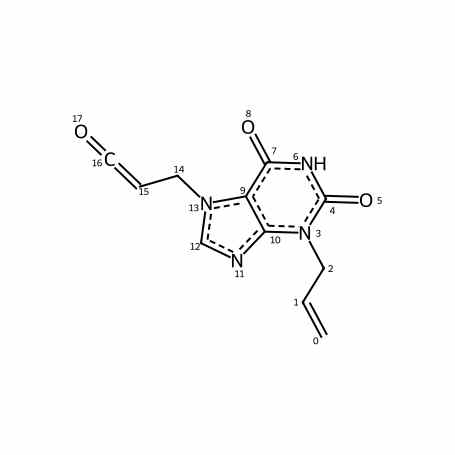 C=CCn1c(=O)[nH]c(=O)c2c1ncn2CC=C=O